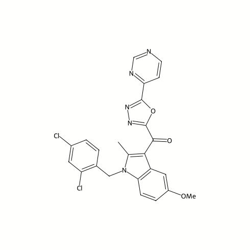 COc1ccc2c(c1)c(C(=O)c1nnc(-c3ccncn3)o1)c(C)n2Cc1ccc(Cl)cc1Cl